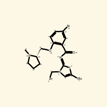 CC(C)Cn1cc(C(C)(C)C)sc1=NC(=O)c1cc(Br)ccc1OC[C@@H]1CCCN1C